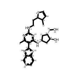 Cc1nc(NCCC2SC=CC2C)nc(N[C@@H]2C[C@H](CO)[C@@H](O)C2)c1-c1nc2cnccc2s1